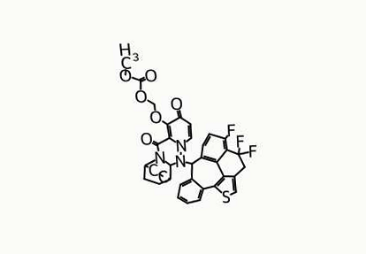 COC(=O)OCOc1c2n(ccc1=O)N(C1c3ccccc3-c3scc4c3-c3c1ccc(F)c3C(F)(F)C4)C1C3CCC(CC3)N1C2=O